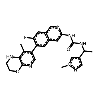 Cc1c(-c2cc3cc(NC(=O)NC(C)c4cnn(C)c4)ncc3cc2F)cnc2c1NCCO2